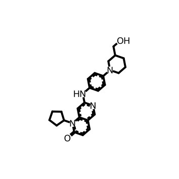 O=c1ccc2cnc(Nc3ccc(N4CCCC(CO)C4)cc3)cc2n1C1CCCC1